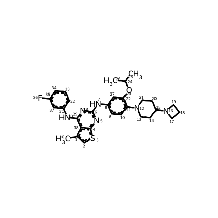 Cc1csc2nc(Nc3ccc(N4CCC(N5CCC5)CC4)c(OC(C)C)c3)nc(Nc3cccc(F)c3)c12